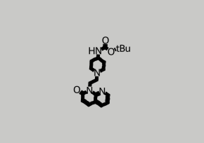 CC(C)(C)OC(=O)NC1CCN(CCn2c(=O)ccc3cccnc32)CC1